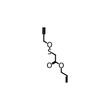 C#CCOSCC(=O)OCC=C